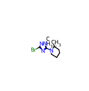 C[C@H]1CCCCN1c1nc(Br)nn1C